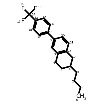 CCCCC1CCc2cc(-c3ccc(C(F)(F)F)cc3)ccc2C1